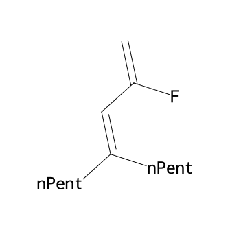 C=C(F)C=C(CCCCC)CCCCC